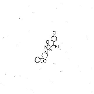 CC/C(=C1\SC(N2CCC3(CC2)OCc2ccccc23)=NC1=O)c1ccc(Cl)cc1